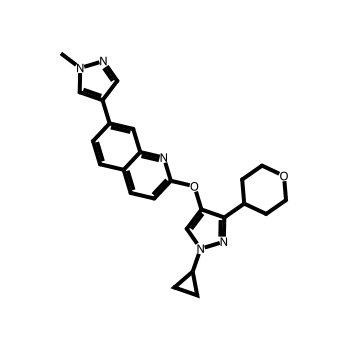 Cn1cc(-c2ccc3ccc(Oc4cn(C5CC5)nc4C4CCOCC4)nc3c2)cn1